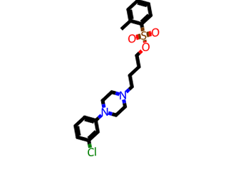 Cc1ccccc1S(=O)(=O)OCCCCN1CCN(c2cccc(Cl)c2)CC1